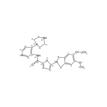 COc1cc2c(cc1OC)CN(c1ccc(C(=O)Nc3cnccc3N3CCNCC3)o1)C2